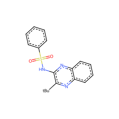 CC(C)(C)c1nc2ccccc2nc1NS(=O)(=O)c1ccccc1